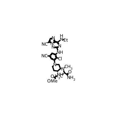 CCNc1nc(Nc2cc(C#N)cc(N3CC[C@@H](NC(=O)OC)[C@@H](N(C)[C@H](C)C(N)=O)C3)c2Cl)nn2c(C#N)cnc12